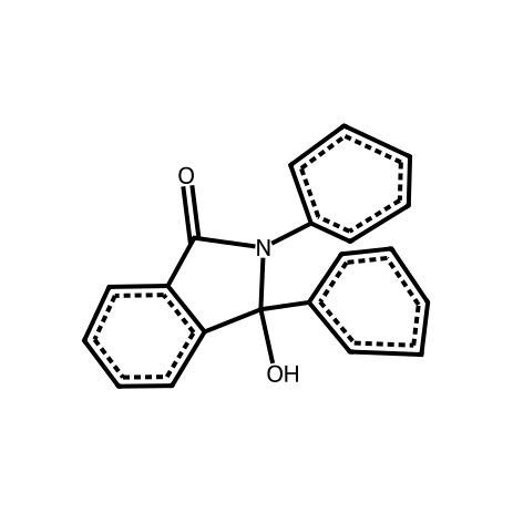 O=C1c2ccccc2C(O)(c2ccccc2)N1c1ccccc1